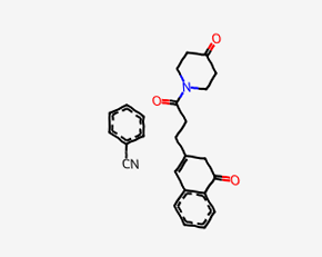 N#Cc1ccccc1.O=C1CCN(C(=O)CCC2=Cc3ccccc3C(=O)C2)CC1